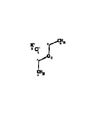 CCOCC.[Cl-].[K+]